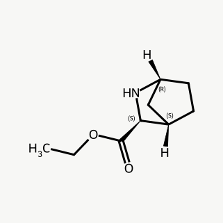 CCOC(=O)[C@H]1N[C@@H]2CC[C@H]1C2